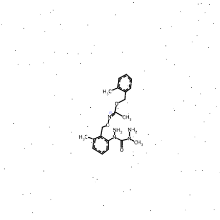 C/C(=N\OCc1c(C)cccc1N(N)C(=O)N(C)N)OCc1ccccc1C